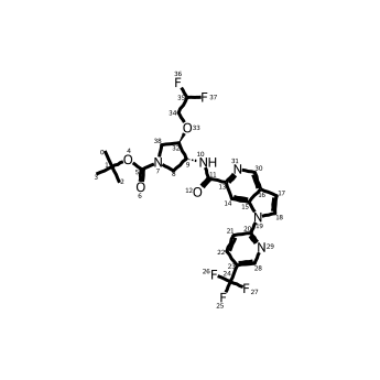 CC(C)(C)OC(=O)N1C[C@@H](NC(=O)c2cc3c(ccn3-c3ccc(C(F)(F)F)cn3)cn2)[C@H](OCC(F)F)C1